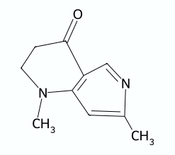 Cc1cc2c(cn1)C(=O)CCN2C